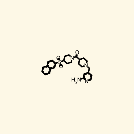 Nc1cc(CN2CCC(C(=O)N3CCC(S(=O)(=O)c4ccc5ccccc5c4)CC3)CC2)ccn1